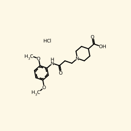 COc1ccc(OC)c(NC(=O)CCN2CCC(C(=O)O)CC2)c1.Cl